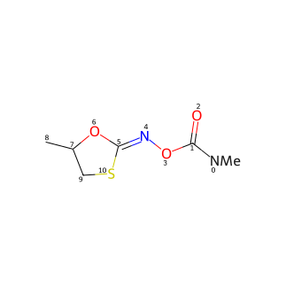 CNC(=O)ON=C1OC(C)CS1